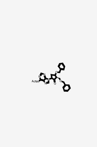 CC(=O)Nc1ncnc2c1ncn2C1CC(OCc2ccccc2)[C@@H](COCc2ccccc2)C1=O